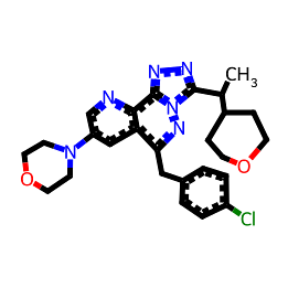 CC(c1nnc2c3ncc(N4CCOCC4)cc3c(Cc3ccc(Cl)cc3)nn12)C1CCOCC1